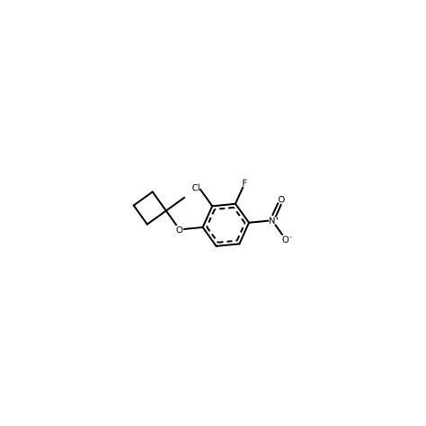 CC1(Oc2ccc([N+](=O)[O-])c(F)c2Cl)CCC1